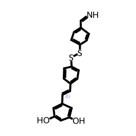 N=Cc1ccc(SSc2ccc(/C=C/c3cc(O)cc(O)c3)cc2)cc1